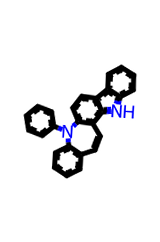 C1=Cc2c(ccc3c2[nH]c2ccccc23)N(c2ccccc2)c2ccccc21